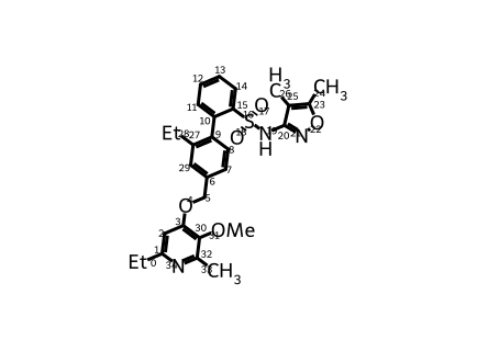 CCc1cc(OCc2ccc(-c3ccccc3S(=O)(=O)Nc3noc(C)c3C)c(CC)c2)c(OC)c(C)n1